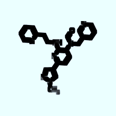 Cn1cc(-c2ccc(N(C=O)Cc3cccnc3)c(NCCc3ccccn3)n2)cn1